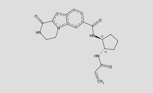 C=CC(=O)N[C@H]1CCC[C@@H]1NC(=O)c1ccc2cc3n(c2c1)CCNC3=O